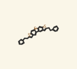 c1ccc(CCc2cc3cc4c(cc3s2)sc2cc3sc(CCc5ccccc5)cc3cc24)cc1